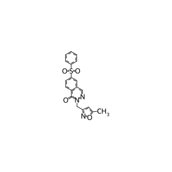 Cc1cc(Cn2ncc3cc(S(=O)(=O)c4ccccc4)ccc3c2=O)no1